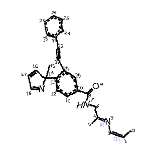 C/C=C\N=C(/C)CNC(=O)c1ccc(C2(C)C=CC=N2)c(C#Cc2ccccc2)c1